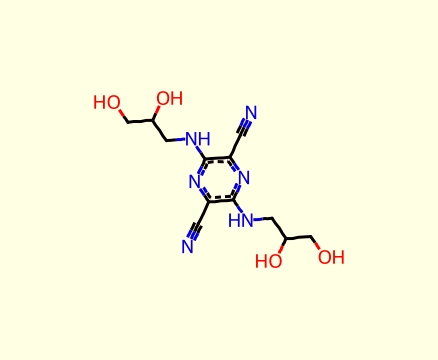 N#Cc1nc(NCC(O)CO)c(C#N)nc1NCC(O)CO